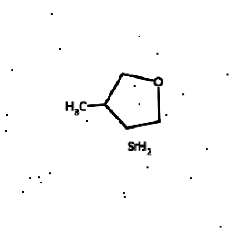 CC1CCOC1.[SrH2]